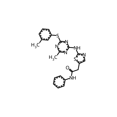 Cc1cccc(Sc2nc(C)nc(Nc3ncc(CC(=O)Nc4ccccc4)s3)n2)c1